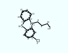 Clc1ccc2c(c1)N(CCCI)c1ccccc1S2